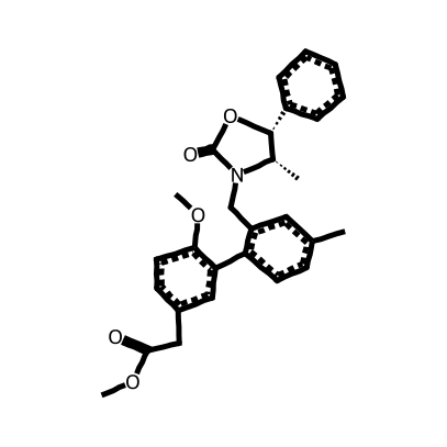 COC(=O)Cc1ccc(OC)c(-c2ccc(C)cc2CN2C(=O)O[C@H](c3ccccc3)[C@@H]2C)c1